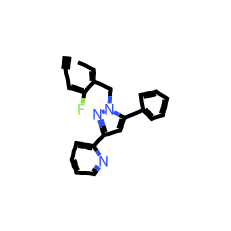 C#C/C=C(F)\C(=C/C)Cn1nc(-c2ccccn2)cc1-c1ccccc1